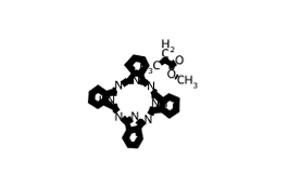 C=C(C)C(=O)OC.c1ccc2c(c1)-c1nc-2nc2[nH]c(nc3nc(nc4[nH]c(n1)c1ccccc41)-c1ccccc1-3)c1ccccc21